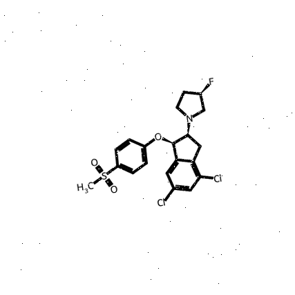 CS(=O)(=O)c1ccc(O[C@@H]2c3cc(Cl)cc(Cl)c3C[C@@H]2N2CC[C@@H](F)C2)cc1